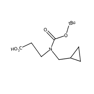 CC(C)(C)OC(=O)N(CCC(=O)O)CC1CC1